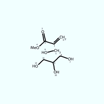 C=CC(=O)OC.CO.OCC(O)CO